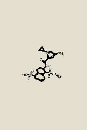 Nc1cc(C(=O)Nc2ccc3c(S(=O)(=O)O)cccc3c2S(=O)(=O)[O-])n(C2CC2)c1.[Cl-].[Na+].[Na+]